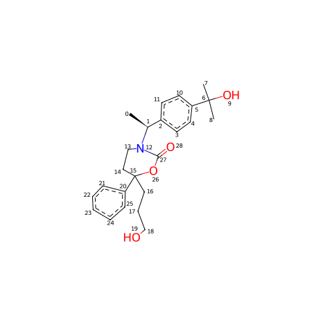 C[C@@H](c1ccc(C(C)(C)O)cc1)N1CCC(CCCO)(c2ccccc2)OC1=O